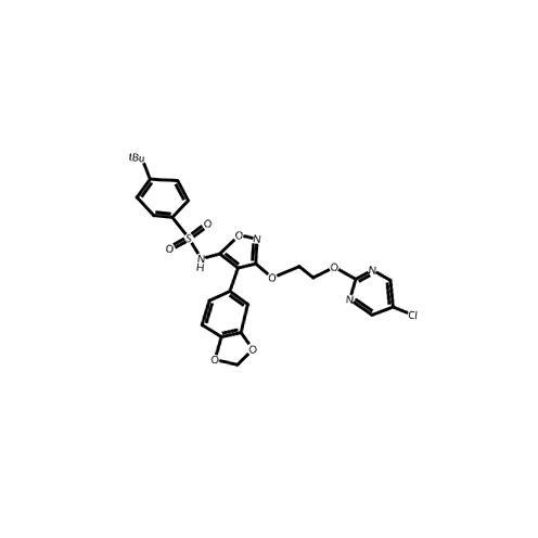 CC(C)(C)c1ccc(S(=O)(=O)Nc2onc(OCCOc3ncc(Cl)cn3)c2-c2ccc3c(c2)OCO3)cc1